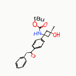 CC(C)(C)OC(=O)N[C@]1(c2ccc(C(=O)Cc3ccccc3)cc2)C[C@@](C)(O)C1